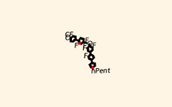 CCCCCc1ccc(-c2ccc(-c3cc(F)c(OC(F)(F)c4ccc(-c5ccc(OC(F)(F)F)cc5)c(F)c4)c(F)c3)c(F)c2)cc1